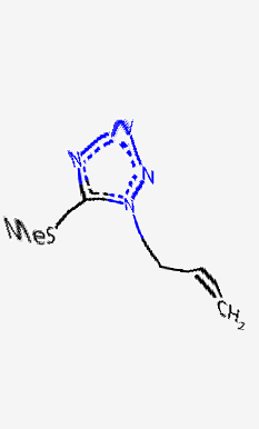 C=CCn1nnnc1SC